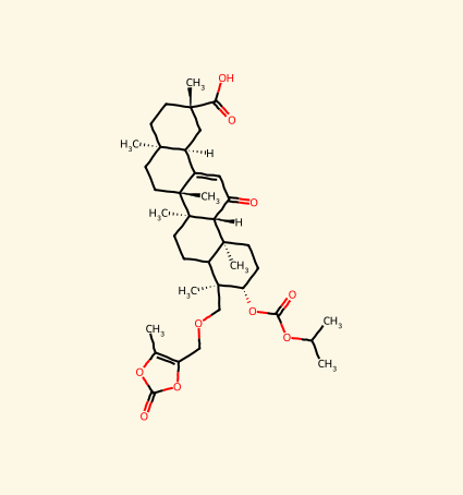 Cc1oc(=O)oc1COC[C@@]1(C)C2CC[C@]3(C)[C@H](C(=O)C=C4[C@@H]5C[C@@](C)(C(=O)O)CC[C@]5(C)CC[C@]43C)[C@@]2(C)CC[C@@H]1OC(=O)OC(C)C